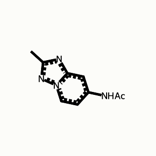 CC(=O)Nc1ccn2nc(C)nc2c1